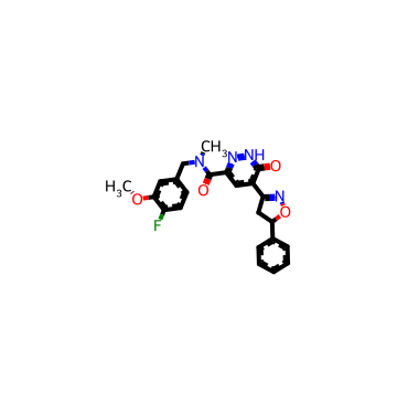 COc1cc(CN(C)C(=O)c2cc(C3=NOC(c4ccccc4)C3)c(=O)[nH]n2)ccc1F